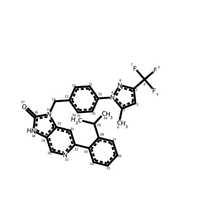 Cc1cc(C(F)(F)F)nn1-c1ccc(Cn2c(=O)[nH]c3cnc(-c4ccccc4C(C)C)cc32)cc1